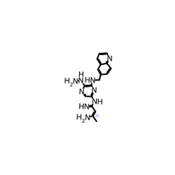 C/C(N)=C/C(=N)Nc1cnc(NN)c(NCc2ccc3ncccc3c2)n1